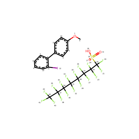 COc1ccc(-c2ccccc2I)cc1.O=S(=O)(O)C(F)(F)C(F)(F)C(F)(F)C(F)(F)C(F)(F)C(F)(F)C(F)(F)C(F)(F)F